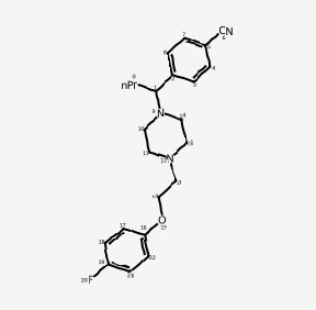 CCCC(c1ccc(C#N)cc1)N1CCN(CCOc2ccc(F)cc2)CC1